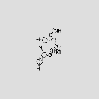 CC(C)(C)[C@H]1CC[C@H](c2cc(C(=O)N3CCC(Oc4cc(C#N)cc(N5CCNCC5)c4)CC3)ccc2O[C@H]2CCNC2)CC1.Cl.Cl